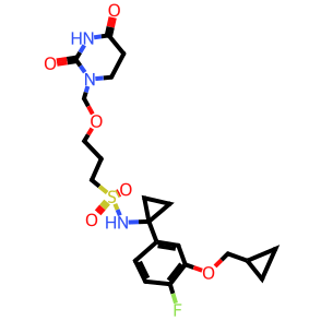 O=C1CCN(COCCCS(=O)(=O)NC2(c3ccc(F)c(OCC4CC4)c3)CC2)C(=O)N1